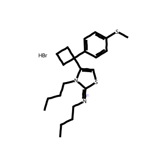 Br.CCCC/N=c1/scc(C2(c3ccc(SC)cc3)CCC2)n1CCCC